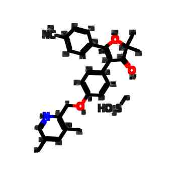 CS(=O)(=O)O.Cc1cnc(COc2ccc(C3=C(c4ccc(C#N)cc4)OC(C)(C)C3=O)cc2)c(C)c1